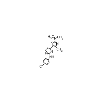 Cc1nc(N(C)C)sc1-c1ccnc(Nc2ccc(Cl)cc2)n1